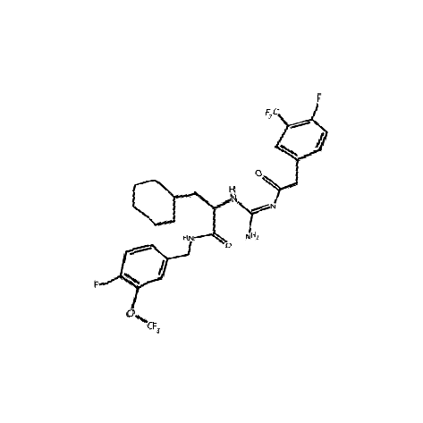 NC(=NC(=O)Cc1ccc(F)c(C(F)(F)F)c1)NC(CC1CCCCC1)C(=O)NCc1ccc(F)c(OC(F)(F)F)c1